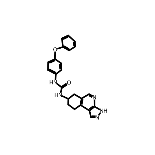 O=C(Nc1ccc(Oc2ccccc2)cc1)NC1CCc2c(cnc3[nH]ncc23)C1